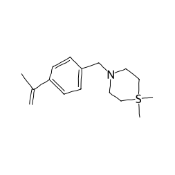 C=C(C)c1ccc(CN2CCS(C)(C)CC2)cc1